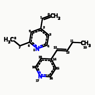 C=Cc1ccnc(CC)c1.CCC=Cc1ccncc1